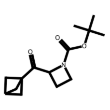 CC(C)(C)OC(=O)N1CCC1C(=O)C12CC(C1)C2